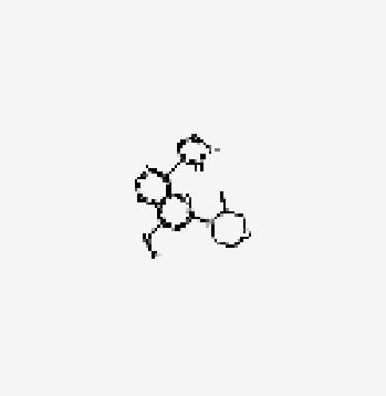 CC(C)Oc1cc(N2CCOCC2C)nc2c(-c3cc[nH]n3)nccc12